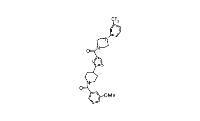 COc1cccc(C(=O)N2CCC(c3nc(C(=O)N4CCN(c5cccc(C(F)(F)F)c5)CC4)cs3)CC2)c1